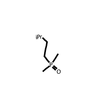 CC(C)CCP(C)(C)=O